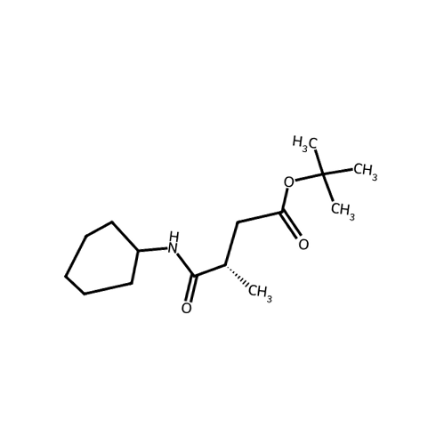 C[C@@H](CC(=O)OC(C)(C)C)C(=O)NC1CCCCC1